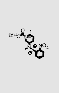 C[C@@H]1CC[C@@H](N(C)S(=O)(=O)c2ccccc2[N+](=O)[O-])CN1C(=O)OC(C)(C)C